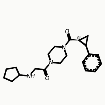 O=C(CNC1CCCC1)N1CCN(C(=O)[C@H]2CC2c2ccccc2)CC1